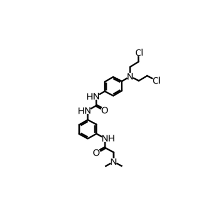 CN(C)CC(=O)Nc1cccc(NC(=O)Nc2ccc(N(CCCl)CCCl)cc2)c1